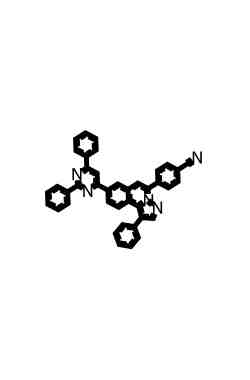 N#Cc1ccc(-c2cc3cc(-c4cc(-c5ccccc5)nc(-c5ccccc5)n4)ccc3c3c(-c4ccccc4)cnn23)cc1